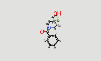 O=C(c1ccccc1)N1CCC(F)(CO)CC1